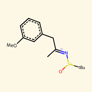 COc1cccc(C/C(C)=N/[S+]([O-])C(C)(C)C)c1